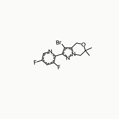 CC1(C)Cn2nc(-c3ncc(F)cc3F)c(Br)c2CO1